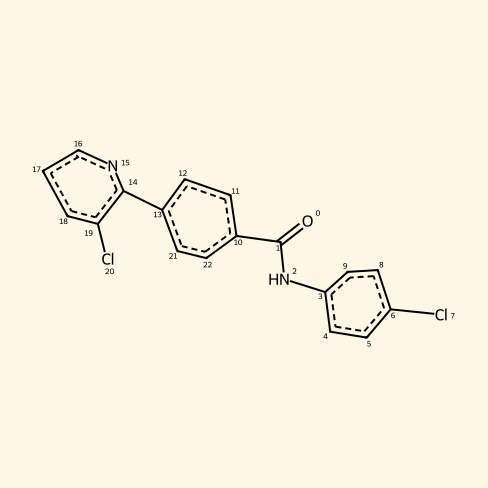 O=C(Nc1ccc(Cl)cc1)c1ccc(-c2ncccc2Cl)cc1